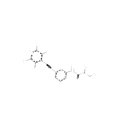 NCC(N)C(=O)Nc1cccc(C#Cc2c(F)c(F)nc(F)c2F)c1